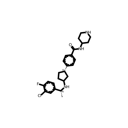 C[C@@H](NC1CC[C@H](c2ccc(C(=O)NC3CCNCC3)cc2)C1)c1ccc(F)c(Cl)c1